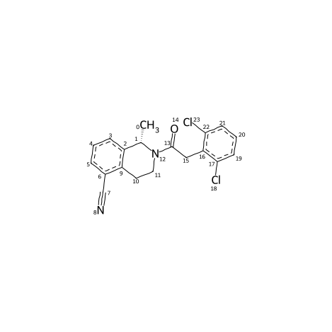 C[C@H]1c2cccc(C#N)c2CCN1C(=O)Cc1c(Cl)cccc1Cl